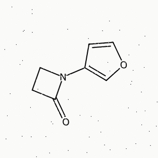 O=C1CCN1c1ccoc1